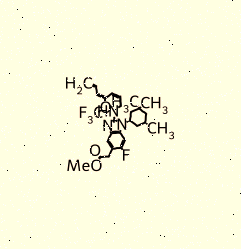 C=C/C=C(\C=C/CNc1nc2cc(CC(=O)OC)c(F)cc2n1[C@@H]1C[C@H](C)CC(C)(C)C1)OC(F)(F)F